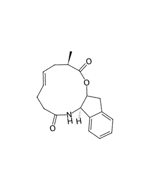 C[C@@H]1C/C=C/CCC(=O)N[C@@H]2c3ccccc3CC2OC1=O